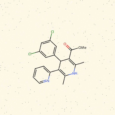 COC(=O)C1=C(C)NC(C)=C(c2ccccn2)C1c1cc(Cl)cc(Cl)c1